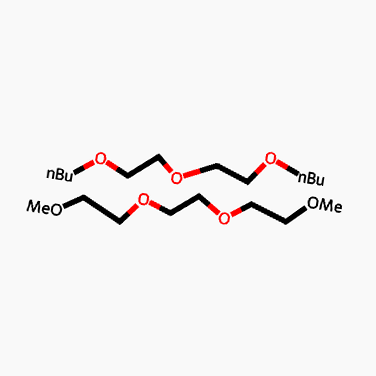 CCCCOCCOCCOCCCC.COCCOCCOCCOC